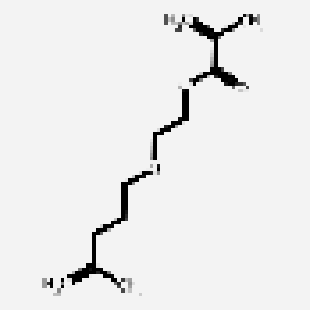 C=C(C)CCCOCCOC(=O)C(=C)C